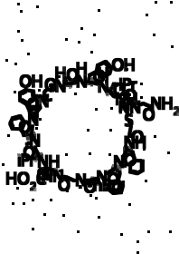 CCCC[C@H]1C(=O)N(C)CC(=O)N[C@@H](CC(=O)O)C(=O)N[C@@H](C(C)C)C(=O)N(C)[C@@H](Cc2ccccc2)C(=O)N[C@@H](Cc2ccc(O)cc2)C(=O)N(C)CC(=O)N[C@@H](C)C(=O)N[C@@H](Cc2ccc(O)cc2)C(=O)N[C@@H](CC(C)C)C(=O)N[C@@H](C(=O)NCC(N)=O)CSCC(=O)N[C@@H](Cc2ccccc2)C(=O)N(C)[C@@H](Cc2ccccc2)C(=O)N1C